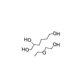 CCOCCO.OCCCCC(O)CO